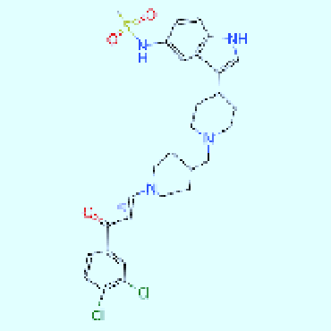 CS(=O)(=O)Nc1ccc2[nH]cc(C3CCN(CC4CCN(/C=C/C(=O)c5ccc(Cl)c(Cl)c5)CC4)CC3)c2c1